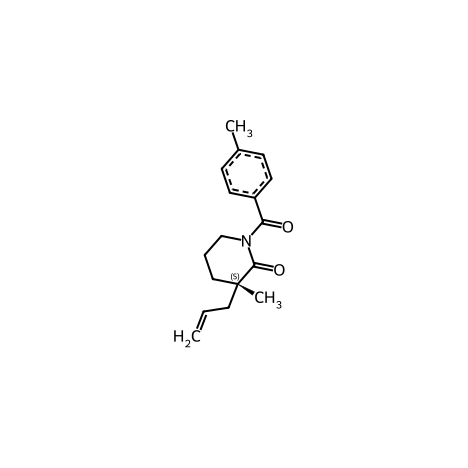 C=CC[C@]1(C)CCCN(C(=O)c2ccc(C)cc2)C1=O